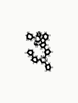 c1ccc(-c2cccc(-c3cc(-c4ccccc4)nc(-c4cccc(-c5ccc6c(c5)-c5ccccc5C65c6ccccc6N(c6ccccc6)c6ccccc65)c4)n3)c2)cc1